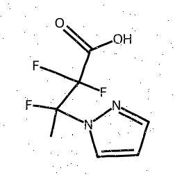 CC(F)(n1cccn1)C(F)(F)C(=O)O